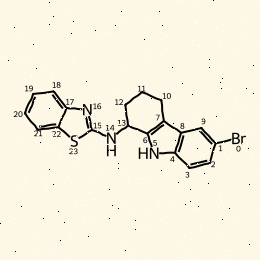 Brc1ccc2[nH]c3c(c2c1)CCCC3Nc1nc2ccccc2s1